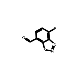 O=Cc1ccc(F)c2nnsc12